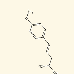 N#CC(C#N)CC=Cc1ccc(OC(F)(F)F)cc1